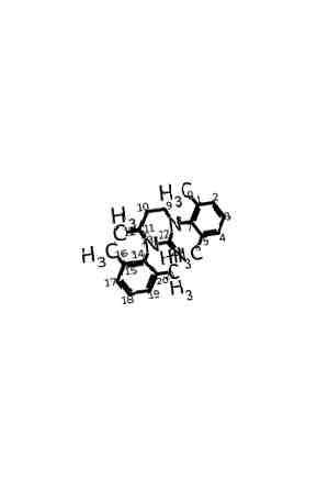 Cc1cccc(C)c1N1CCC(C)N(c2c(C)cccc2C)C1=N